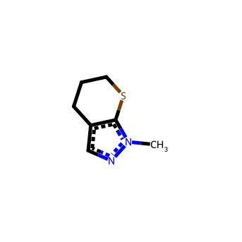 Cn1ncc2c1SCCC2